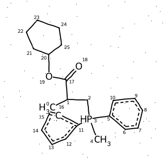 CC(C[PH](C)(c1ccccc1)c1ccccc1)C(=O)OC1CCCCC1